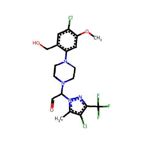 COc1cc(N2CCN(C(C=O)n3nc(C(F)(F)F)c(Cl)c3C)CC2)c(CO)cc1Cl